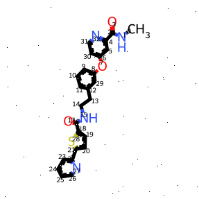 CNC(=O)c1cc(Oc2cccc(CCNC(=O)c3ccc(-c4ccccn4)s3)c2)ccn1